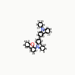 C1=c2oc3c(-n4c5ccccc5c5cc(-c6ccc7c(c6)c6ccccc6n7-c6ccccc6)ccc54)cccc3c2=CCC1